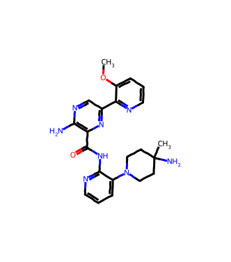 COc1cccnc1-c1cnc(N)c(C(=O)Nc2ncccc2N2CCC(C)(N)CC2)n1